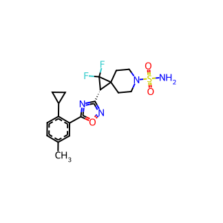 Cc1ccc(C2CC2)c(-c2nc([C@@H]3C(F)(F)C34CCN(S(N)(=O)=O)CC4)no2)c1